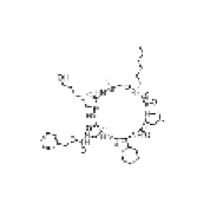 CCCCCC[C@H]1OC[C@@H](C)NC(=O)[C@H](COCCCO)NC(=O)[C@H](CNC(=O)OCc2ccccc2)NC(=O)[C@H](C2CCCCC2)NC(=O)[C@H](CC(C)C)N(C)C(=O)[C@@H]1C